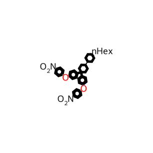 CCCCCC[C@H]1CC[C@@H](C2CCC(c3ccc(Oc4ccc([N+](=O)[O-])cc4)cc3)(c3ccc(Oc4ccc([N+](=O)[O-])cc4)cc3)CC2)CC1